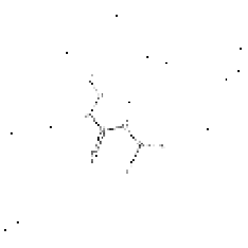 CCCC(=O)OC(C)I